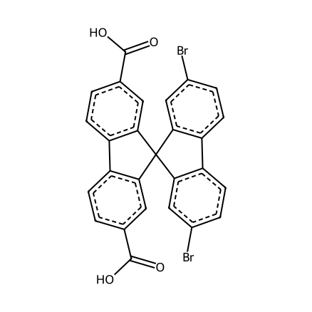 O=C(O)c1ccc2c(c1)C1(c3cc(Br)ccc3-c3ccc(Br)cc31)c1cc(C(=O)O)ccc1-2